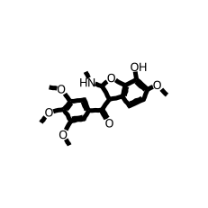 CNC1Oc2c(ccc(OC)c2O)C1C(=O)c1cc(OC)c(OC)c(OC)c1